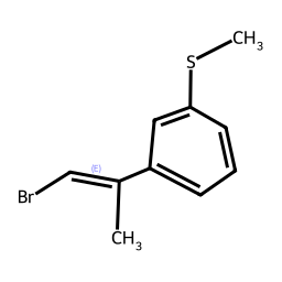 CSc1cccc(/C(C)=C/Br)c1